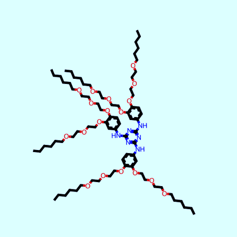 CCCCCCOCCOCCOc1ccc(Nc2nc(Nc3ccc(OCCOCCOCCCCCC)c(OCCOCCOCCCCCC)c3)nc(Nc3ccc(OCCOCCOCCCCCC)c(OCCOCCOCCCCCC)c3)n2)cc1OCCOCCOCCCCCC